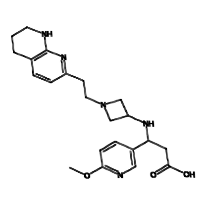 COc1ccc(C(CC(=O)O)NC2CN(CCc3ccc4c(n3)NCCC4)C2)cn1